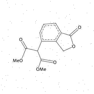 COC(=O)C(C(=O)OC)c1cccc2c1COC2=O